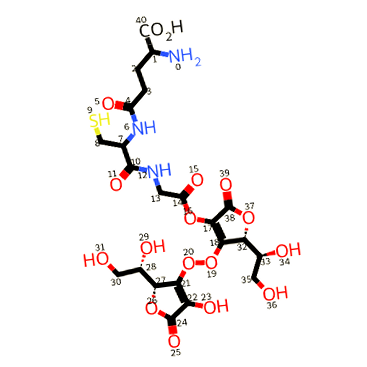 NC(CCC(=O)NC(CS)C(=O)NCC(=O)OC1=C(OOC2=C(O)C(=O)O[C@@H]2[C@@H](O)CO)[C@@H]([C@@H](O)CO)OC1=O)C(=O)O